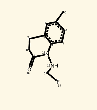 Cc1ccc2c(c1)CCC(=O)N2NCF